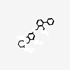 C=Cc1c(COc2cc(OC)c(CN3CCCCC3C(=O)O)c(OC)c2)cccc1-c1ccccc1